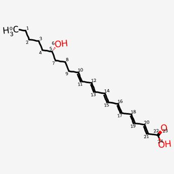 CCCCC[C@H](O)CCCC=CC=CC=CC=CC=CC=CC(=O)O